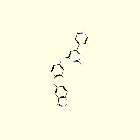 Nc1nc(Nc2ccc(Oc3ccc4[nH]ncc4c3)c(Cl)c2)cc(-c2ccncc2)n1